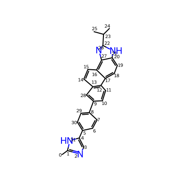 Cc1ncc(-c2ccc(-c3ccc4c(ccc5c4ccc4[nH]c(C(C)C)nc45)c3)cc2)[nH]1